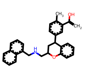 C=C(O)c1cc(C2CC(CNCc3cccc4ccccc34)Oc3ccccc32)ccc1C